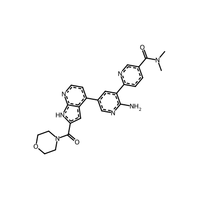 CN(C)C(=O)c1ccc(-c2cc(-c3ccnc4[nH]c(C(=O)N5CCOCC5)cc34)cnc2N)nc1